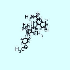 COc1cccc(Cn2nc(C(F)(F)F)c(NC(=O)c3cc(C(N)=O)nc4ccc(Br)cc34)c2C)c1